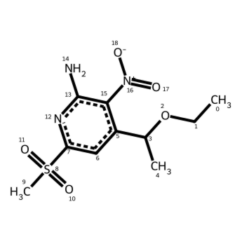 CCOC(C)c1cc(S(C)(=O)=O)nc(N)c1[N+](=O)[O-]